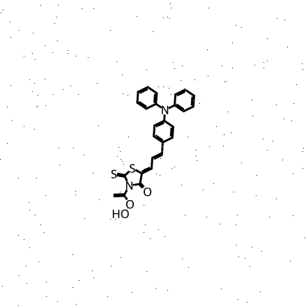 C=C(OO)N1C(=O)/C(=C/C=C/c2ccc(N(c3ccccc3)c3ccccc3)cc2)SC1=S